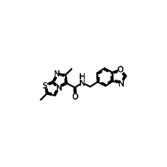 Cc1cn2c(C(=O)NCc3ccc4ocnc4c3)c(C)nc2s1